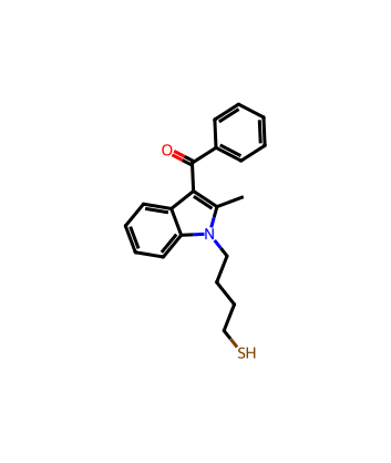 Cc1c(C(=O)c2ccccc2)c2ccccc2n1CCCCS